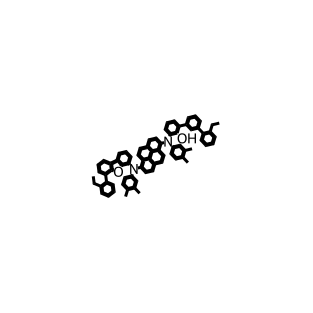 CCc1ccccc1-c1cccc(-c2cccc(N(c3ccc(C)c(C)c3)c3ccc4ccc5c(N(c6ccc(C)c(C)c6)c6cccc7c6oc6c(-c8ccccc8CC)cccc67)ccc6ccc3c4c65)c2O)c1